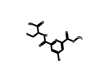 COC(=O)c1cc(Br)cc(C(=O)NC(CF)C(=O)O)n1